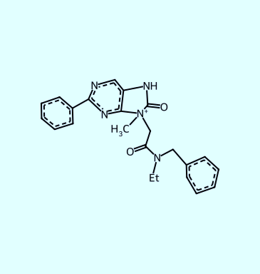 CCN(Cc1ccccc1)C(=O)C[N+]1(C)C(=O)Nc2cnc(-c3ccccc3)nc21